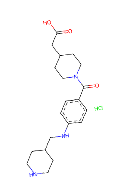 Cl.O=C(O)CC1CCN(C(=O)c2ccc(NCC3CCNCC3)cc2)CC1